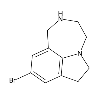 Brc1cc2c3c(c1)CNCCN3CC2